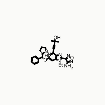 CCn1c(-c2nonc2N)nc2c(C#CC(C)(C)O)nc(O[C@@H](c3ccccc3)[C@H]3CCCN3)cc21